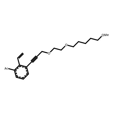 C=Cc1c(C#CCOCCOCCCCCOC)cccc1C(C)=O